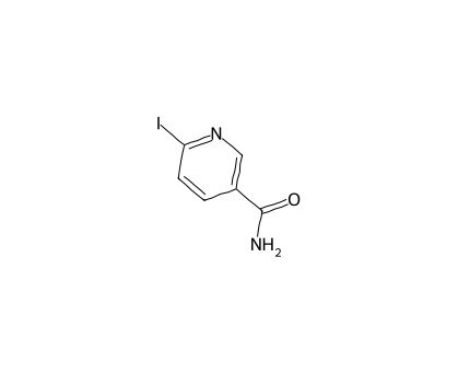 NC(=O)c1ccc(I)nc1